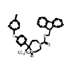 Cc1ccc(Oc2ccc(C3(CC(=O)O)CCN(C(=O)OCC4c5ccccc5-c5ccccc54)CCS3(=O)=O)cc2)cc1